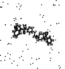 O=C(N[C@H]1CC[C@H](CCN2CCC(F)(C(=O)c3ccccc3)CC2)CC1)c1ccnc2ccccc12